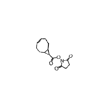 O=C(ON1C(=O)CCC1=O)C1C2CC/C=C\CCC21